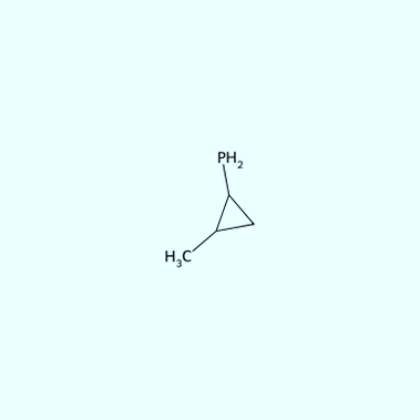 CC1CC1P